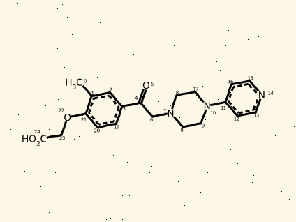 Cc1cc(C(=O)CN2CCN(c3ccncc3)CC2)ccc1OCC(=O)O